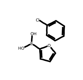 Clc1ccccc1.OB(O)c1ccco1